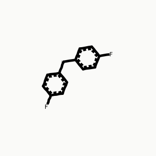 Fc1ccc([C]c2ccc(F)cc2)cc1